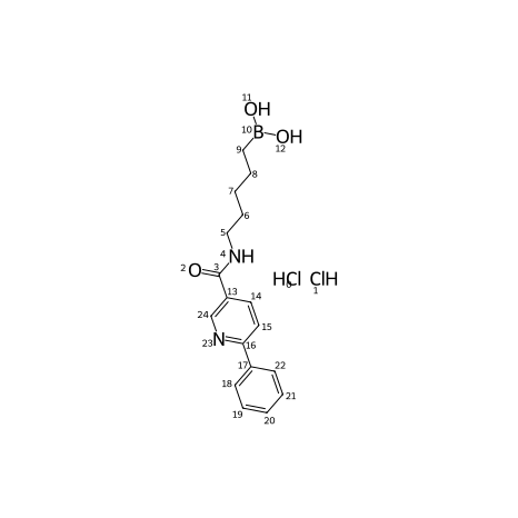 Cl.Cl.O=C(NCCCCCB(O)O)c1ccc(-c2ccccc2)nc1